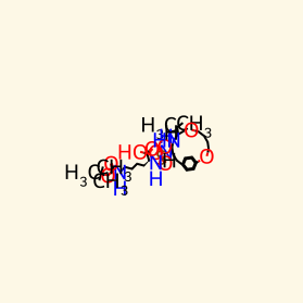 CC(C)[C@H]1COCCCCOc2ccc(cc2)C[C@@H](NS(=O)(=O)N[C@@H](CCCCNC(=O)OC(C)(C)C)C(=O)O)C(=O)N1